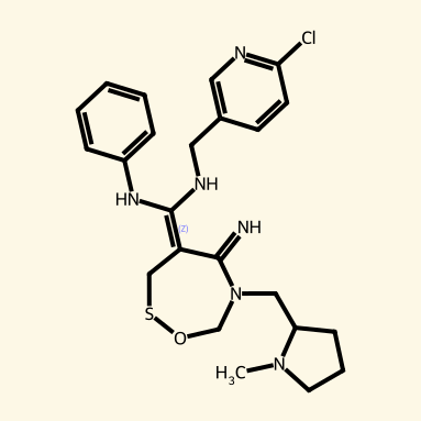 CN1CCCC1CN1COSC/C(=C(/NCc2ccc(Cl)nc2)Nc2ccccc2)C1=N